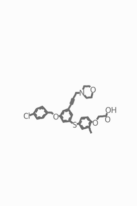 Cc1cc(Sc2cc(C#CCN3CCOCC3)cc(OCc3ccc(Cl)cc3)c2)ccc1OCC(=O)O